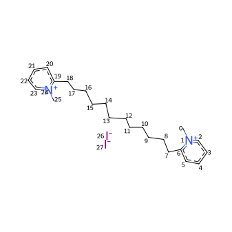 C[n+]1ccccc1CCCCCCCCCCCCc1cccc[n+]1C.[I-].[I-]